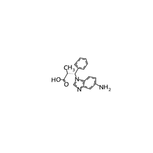 CC(C(=O)O)[C@H](c1ccccc1)n1cnc2cc(N)ccc21